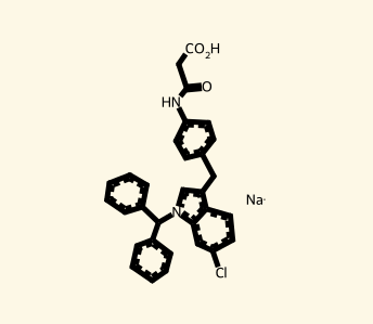 O=C(O)CC(=O)Nc1ccc(Cc2cn(C(c3ccccc3)c3ccccc3)c3cc(Cl)ccc23)cc1.[Na]